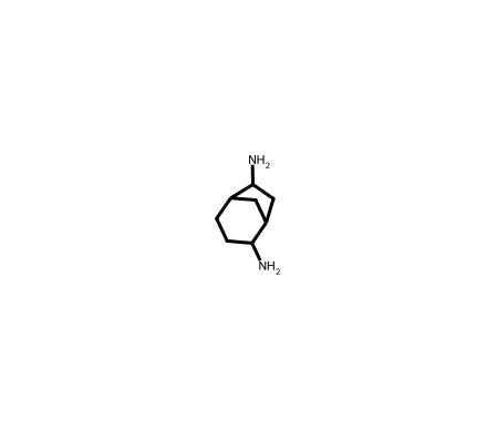 NC1CC2CC1CCC2N